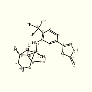 C[C@H](Nc1cc(-c2n[nH]c(=O)o2)ccc1C(F)(F)F)[C@@H]1[C@@H]2CC[C@H]1CNC2